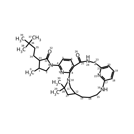 CC1CN(c2ccc3c(n2)N2CC(CCCNc4cccc(n4)SNC3=O)CC2(C)C)C(=O)C1CCC(C)(C)C